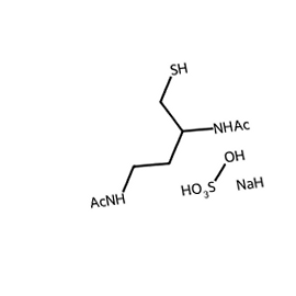 CC(=O)NCCC(CS)NC(C)=O.O=S(=O)(O)O.[NaH]